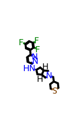 Fc1cc(F)c(F)c(-c2ccc(N[C@H]3C[C@@H]4CN(CC5CCSCC5)C[C@@H]4C3)nn2)c1